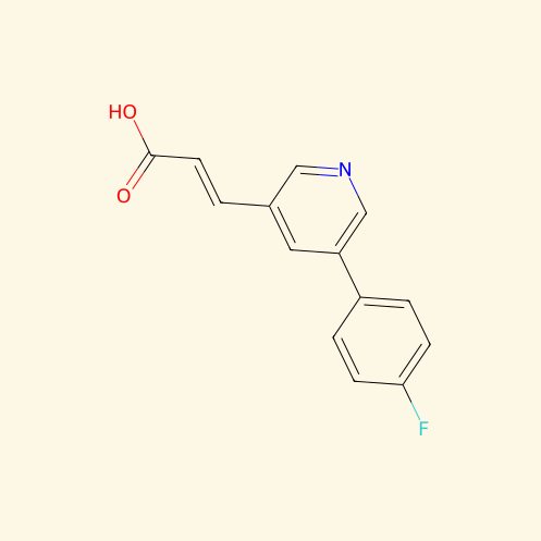 O=C(O)C=Cc1cncc(-c2ccc(F)cc2)c1